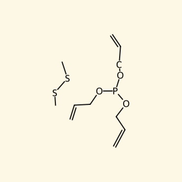 C=CCOP(OCC=C)OCC=C.CSSC